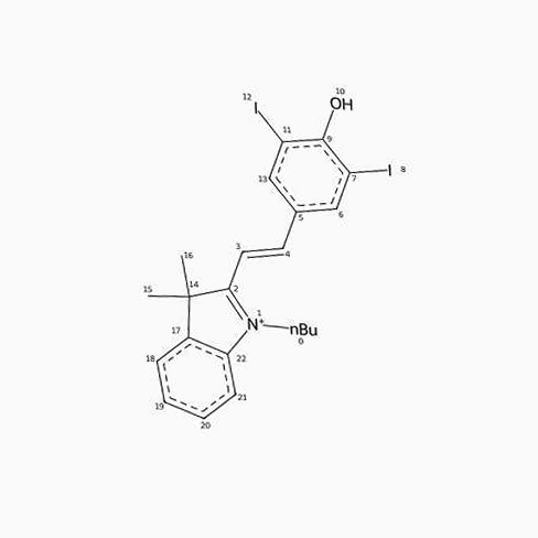 CCCC[N+]1=C(C=Cc2cc(I)c(O)c(I)c2)C(C)(C)c2ccccc21